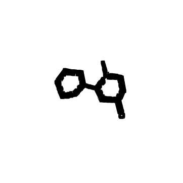 Cn1ccc(=O)cc1-c1ccccc1